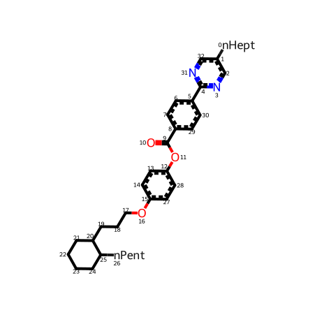 CCCCCCCc1cnc(-c2ccc(C(=O)Oc3ccc(OCCCC4CCCCC4CCCCC)cc3)cc2)nc1